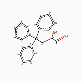 O=CC(S)CC(c1ccccc1)(c1ccccc1)c1ccccc1